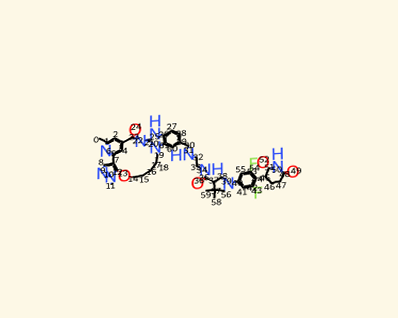 Cc1cc2cc(n1)-c1cnn(C)c1OCCC[C@@H](C)CN1/C(=N/C2=O)Nc2ccc(CNCCNC(=O)[C@H]3CN(c4cc(F)c([C@H]5CCC(=O)NC5=O)c(F)c4)CC3(C)C)cc21